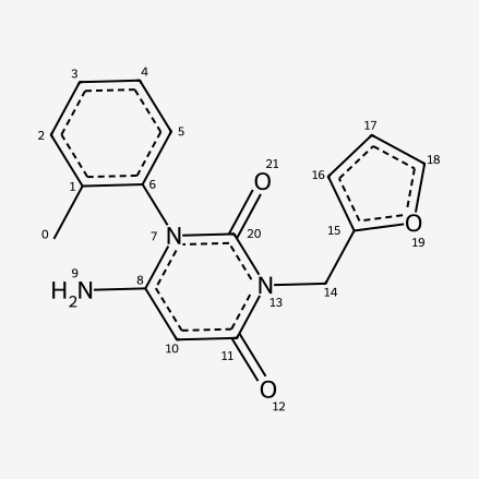 Cc1ccccc1-n1c(N)cc(=O)n(Cc2ccco2)c1=O